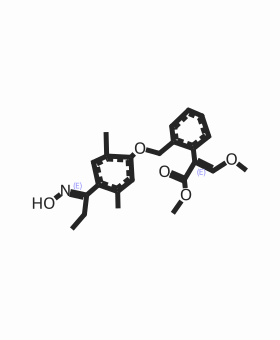 CC/C(=N\O)c1cc(C)c(OCc2ccccc2/C(=C\OC)C(=O)OC)cc1C